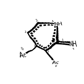 CC(=O)c1cc[nH]c(=N)c1C(C)=O